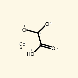 O=C(O)C(Cl)Cl.[Cd]